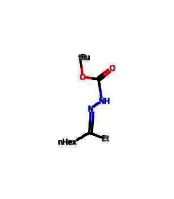 CCCCCCC(CC)=NNC(=O)OC(C)(C)C